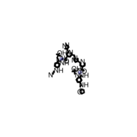 CN(C)CCNc1ccc2c(c1)[nH]/c(=N\C(=O)c1cc(Cn3cc(-c4cc(C(=O)/N=c5\[nH]c6cc(NC[C@@H]7CCCO7)ccc6n5CC(C)(C)O)ccn4)cn3)nc(-c3cnn(C)c3)c1)n2CC(C)(C)O